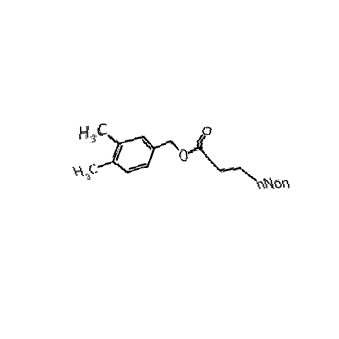 CCCCCCCCCCCC(=O)OCc1ccc(C)c(C)c1